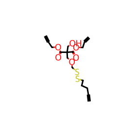 C#CCCCSSCOCC(CO)(C(=O)OCC#C)C(=O)OCC#C